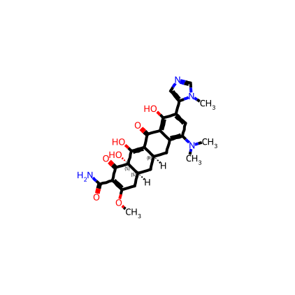 COC1=C(C(N)=O)C(=O)[C@@]2(O)C(O)=C3C(=O)c4c(O)c(-c5cncn5C)cc(N(C)C)c4C[C@H]3C[C@H]2C1